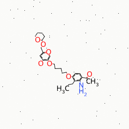 CCCc1c(OCCCCCOc2coc(COC3CCCCO3)cc2=O)ccc(C(C)=O)c1N